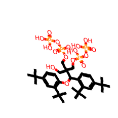 CC(C)(C)c1ccc(OC(c2ccc(C(C)(C)C)cc2C(C)(C)C)C(CO)(COP(=O)(O)OP(=O)(O)O)COP(=O)(O)OP(=O)(O)O)c(C(C)(C)C)c1